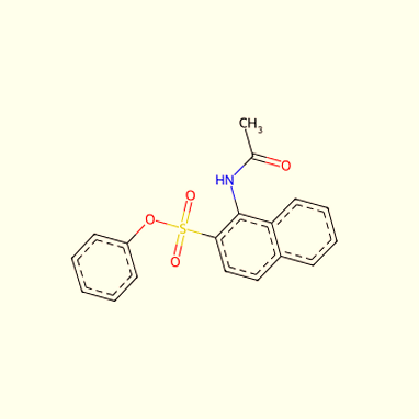 CC(=O)Nc1c(S(=O)(=O)Oc2ccccc2)ccc2ccccc12